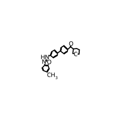 Cc1ccc2nc(Nc3ccc(-c4ccc(C(=O)C5CCCCC5)cc4)cc3)oc2c1